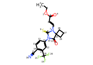 CCOC(=O)/C=C/N1C(=S)N(c2ccc(C#N)c(C(F)(F)F)c2)C(=O)C12CCC2